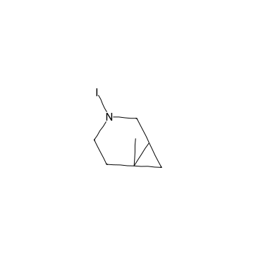 CC12CCN(I)CC1C2